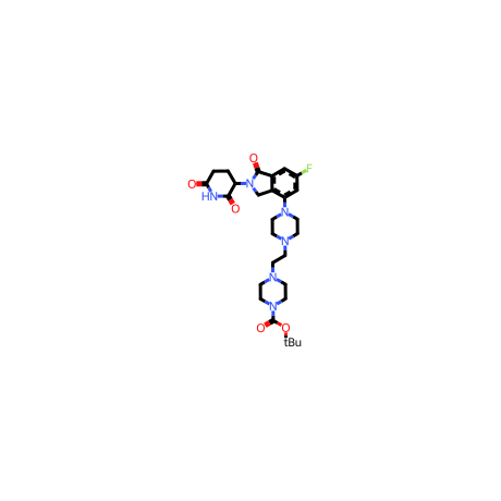 CC(C)(C)OC(=O)N1CCN(CCN2CCN(c3cc(F)cc4c3CN(C3CCC(=O)NC3=O)C4=O)CC2)CC1